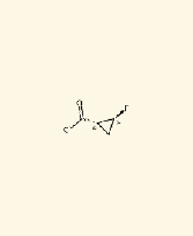 O=C(Cl)[C@H]1C[C@@H]1F